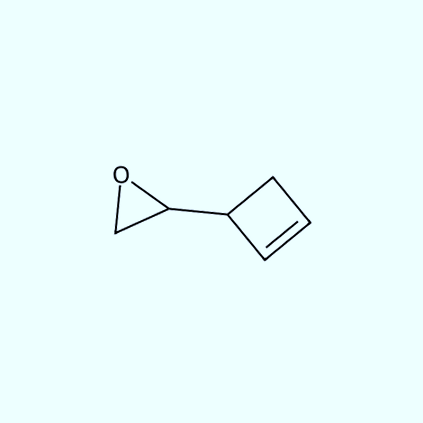 C1=CC(C2CO2)C1